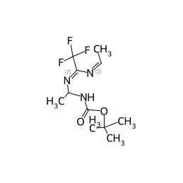 C/C=N\C(=N/C(C)NC(=O)OC(C)(C)C)C(F)(F)F